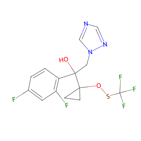 OC(Cn1cncn1)(c1ccc(F)cc1F)C1(OSC(F)(F)F)CC1